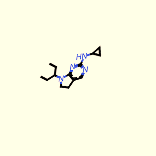 CCC(CC)N1CCc2cnc(NC3CC3)nc21